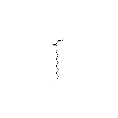 CCCC=CC(=O)OCCCCCCCCCCCCCCCCCC